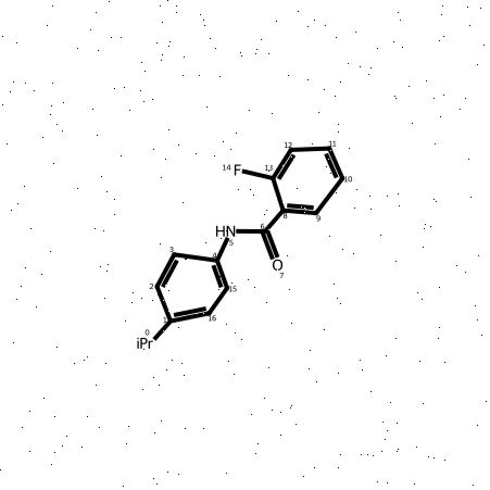 CC(C)c1ccc(NC(=O)c2ccccc2F)cc1